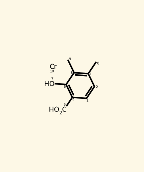 Cc1ccc(C(=O)O)c(O)c1C.[Cr]